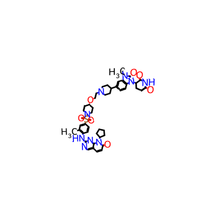 Cc1cc(S(=O)(=O)N2CCC(OCCN3CCC(c4ccc5c(c4)n(C)c(=O)n5C4CCC(=O)NC4=O)CC3)CC2)ccc1Nc1ncc2ccc(=O)n(C3CCCC3)c2n1